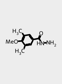 COc1c(C)cc(C(=O)NN)cc1C